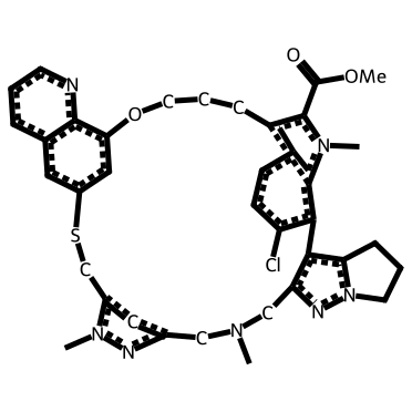 COC(=O)c1c2c3ccc(Cl)c(c3n1C)-c1c(nn3c1CCC3)CN(C)Cc1cc(n(C)n1)CSc1cc(c3ncccc3c1)OCCC2